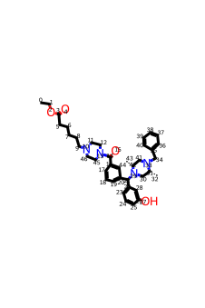 CCOC(=O)CCCCCN1CCN(C(=O)c2cccc(C(c3cccc(O)c3)N3C[C@@H](C)N(Cc4ccccc4)C[C@H]3C)c2)CC1